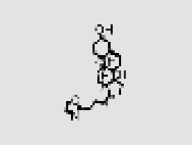 C[C@H](CCc1ncco1)[C@H]1CC[C@H]2[C@@H]3CC=C4C[C@@H](O)CC[C@]4(C)[C@H]3CC[C@]12C